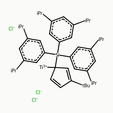 CC(C)c1cc(C(C)C)cc([Si](c2cc(C(C)C)cc(C(C)C)c2)(c2cc(C(C)C)cc(C(C)C)c2)[C]2([Ti+3])C=CC(C(C)(C)C)=C2)c1.[Cl-].[Cl-].[Cl-]